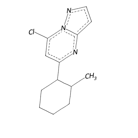 CC1CCCCC1c1cc(Cl)n2nccc2n1